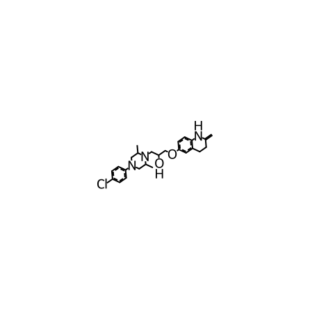 C=C1CCc2cc(OCC(O)CN3C(C)CN(c4ccc(Cl)cc4)CC3C)ccc2N1